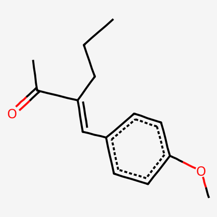 CCC/C(=C\c1ccc(OC)cc1)C(C)=O